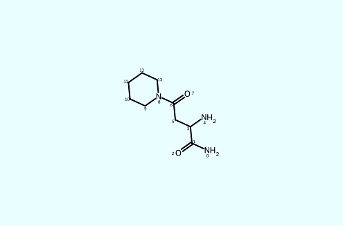 NC(=O)C(N)CC(=O)N1CCCCC1